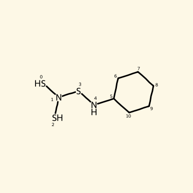 SN(S)SNC1CCCCC1